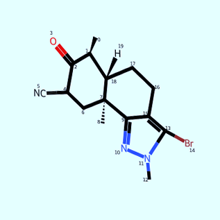 C[C@@H]1C(=O)C(C#N)C[C@]2(C)c3nn(C)c(Br)c3CC[C@@H]12